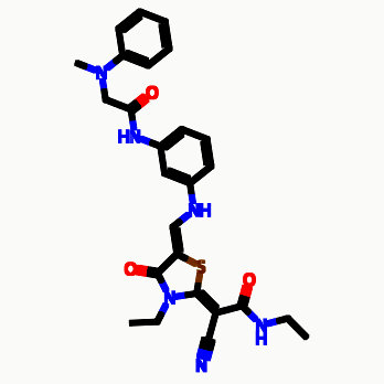 CCNC(=O)C(C#N)=c1sc(=CNc2cccc(NC(=O)CN(C)c3ccccc3)c2)c(=O)n1CC